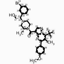 COc1ccc(-c2nc3c(C(=O)N4CCN([C@H](CO)c5cccc(Br)c5)C[C@H]4C)cnn3c(C(F)(F)F)c2C)cc1